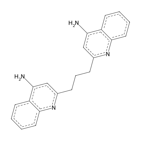 Nc1cc(CCCc2cc(N)c3ccccc3n2)nc2ccccc12